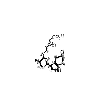 O=C(O)C[S+]([O-])CCNc1nc(-c2c[nH]c3ncc(Cl)cc23)ncc1F